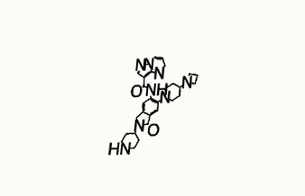 O=C(Nc1cc2c(cc1N1CCC(N3CCC3)CC1)C(=O)N(C1CCNCC1)C2)c1cnn2cccnc12